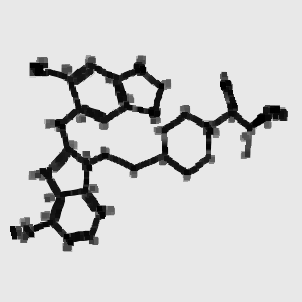 CO[C@@H](C)C(=O)N1CCC(CCn2c(Sc3cc4c(cc3C#N)OCO4)nc3c(N)ncnc32)CC1